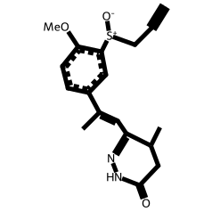 C#CC[S+]([O-])c1cc(C(C)=CC2=NNC(=O)CC2C)ccc1OC